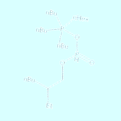 CCCCCCP(CCCC)(CCCC)(CCCC)O[PH](=O)OCC(CC)CCCC